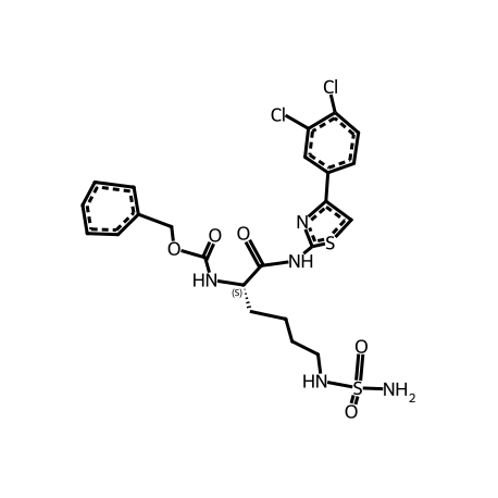 NS(=O)(=O)NCCCC[C@H](NC(=O)OCc1ccccc1)C(=O)Nc1nc(-c2ccc(Cl)c(Cl)c2)cs1